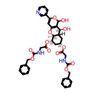 C[C@]12OC3=C(C(O)OC(c4cccnc4)=C3)[C@@H](O)[C@@H]1C[C@H](OC(=O)CNC(=O)OCc1ccccc1)C[C@@H]2OC(=O)CNC(=O)OCc1ccccc1